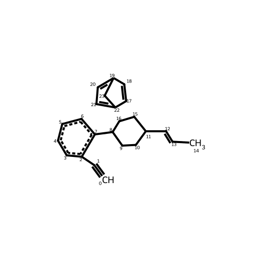 C#Cc1ccccc1C1CCC(C=CC)CC1.C1=CC2=CC=C1C2